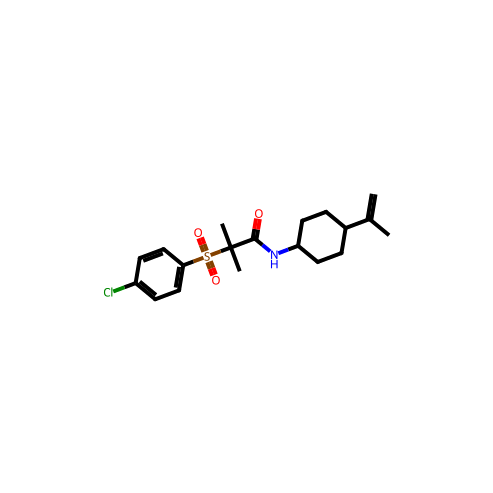 C=C(C)C1CCC(NC(=O)C(C)(C)S(=O)(=O)c2ccc(Cl)cc2)CC1